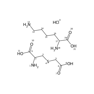 Cl.NC(CSCC(=O)O)C(=O)O.NCCCCC(N)C(=O)O